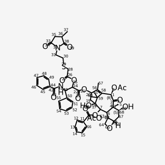 CC(=O)O[C@H]1C(=O)[C@@]2(C)C(C(OC(=O)c3ccccc3)[C@]3(O)CC(OC(=O)C(OC(=O)CSCCN4C(=O)CC(C)C4=O)C(NC(=O)c4ccccc4)c4ccccc4)C(C)=C1C3(C)C)[C@]1(OC(C)=O)CO[C@@H]1C[C@@H]2O